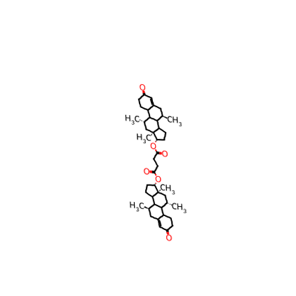 C[C@@H]1CC2=CC(=O)CCC2C2C1C1CC[C@H](OC(=O)CCC(=O)O[C@H]3CCC4C5C(C6CCC(=O)C=C6C[C@H]5C)[C@@H](C)C[C@@]43C)[C@@]1(C)C[C@@H]2C